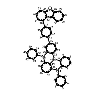 c1ccc(N2c3ccccc3B3c4ccc(-c5ccc(-c6cccc7oc8ccccc8c67)cc5)cc4N(c4ccccc4)c4cccc2c43)cc1